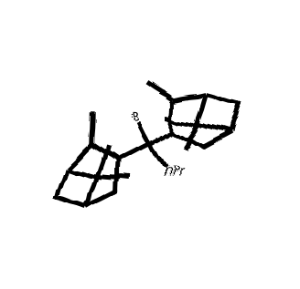 [B]C(CCC)(C1CC2CC(C1C)C2(C)C)C1CC2CC(C1C)C2(C)C